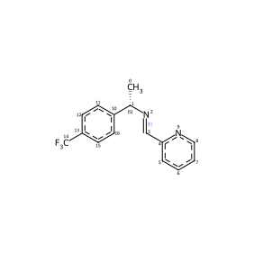 C[C@H](/N=C/c1ccccn1)c1ccc(C(F)(F)F)cc1